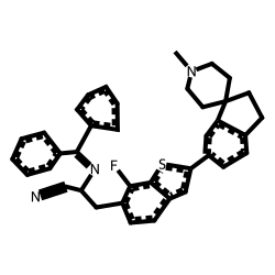 CN1CCC2(CCc3ccc(-c4cc5ccc(CC(C#N)N=C(c6ccccc6)c6ccccc6)c(F)c5s4)cc32)CC1